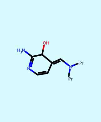 CC(C)N(C=C1C=CN=C(N)C1O)C(C)C